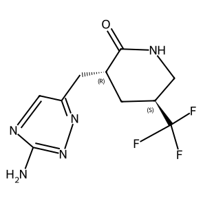 Nc1ncc(C[C@H]2C[C@H](C(F)(F)F)CNC2=O)nn1